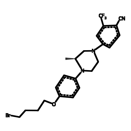 C[C@@H]1CN(c2ccc(C#N)c(C(F)(F)F)c2)CCN1c1ccc(OCCCCBr)cc1